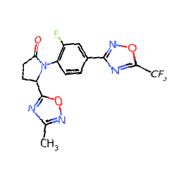 Cc1noc(C2CCC(=O)N2c2ccc(-c3noc(C(F)(F)F)n3)cc2F)n1